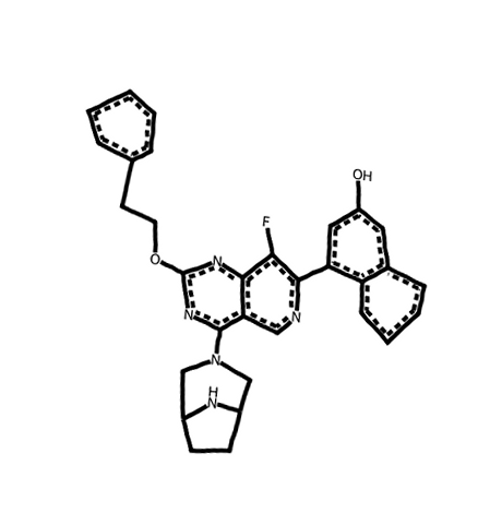 Oc1cc(-c2ncc3c(N4CC5CCC(C4)N5)nc(OCCc4ccccc4)nc3c2F)c2ccccc2c1